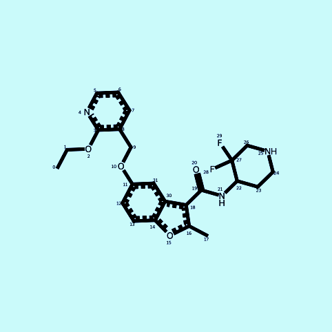 CCOc1ncccc1COc1ccc2oc(C)c(C(=O)NC3CCNCC3(F)F)c2c1